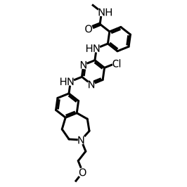 CNC(=O)c1ccccc1Nc1nc(Nc2ccc3c(c2)CCN(CCOC)CC3)ncc1Cl